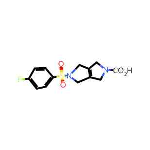 O=C(O)N1CC2=C(C1)CN(S(=O)(=O)c1ccc(F)cc1)C2